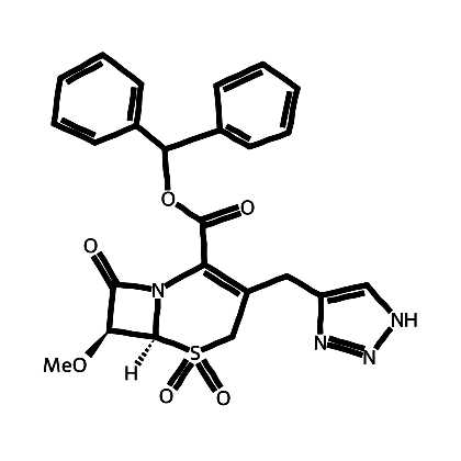 CO[C@H]1C(=O)N2C(C(=O)OC(c3ccccc3)c3ccccc3)=C(Cc3c[nH]nn3)CS(=O)(=O)[C@@H]12